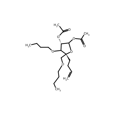 C=CCC[C@]1(COCCCC)OC(OC(C)=O)[C@@H](OC(C)=O)C1OCCCC